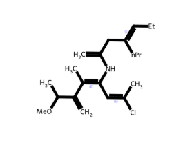 C=C(C/C(=C/CC)CCC)NC(/C=C(\C)Cl)=C(\C)C(=C)C(C)OC